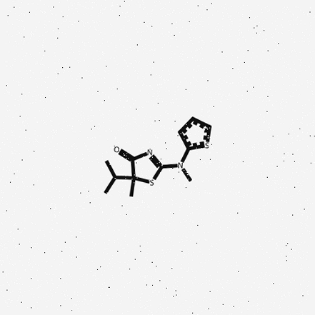 CC(C)C1(C)SC(N(C)c2cccs2)=NC1=O